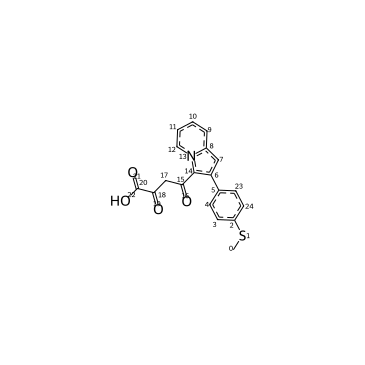 CSc1ccc(-c2cc3ccccn3c2C(=O)CC(=O)C(=O)O)cc1